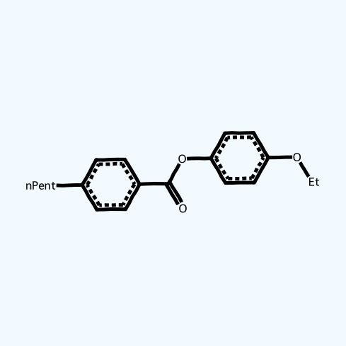 CCCCCc1ccc(C(=O)Oc2ccc(OCC)cc2)cc1